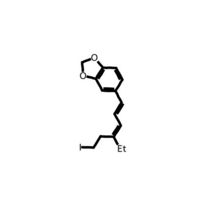 CCC(=CC=Cc1ccc2c(c1)OCO2)CCI